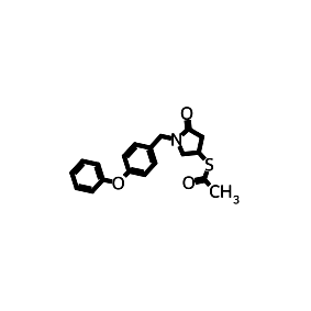 CC(=O)SC1CC(=O)N(Cc2ccc(Oc3ccccc3)cc2)C1